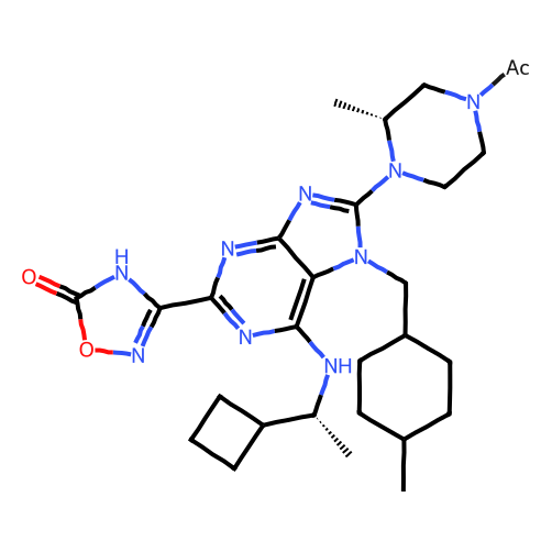 CC(=O)N1CCN(c2nc3nc(-c4noc(=O)[nH]4)nc(N[C@H](C)C4CCC4)c3n2CC2CCC(C)CC2)[C@H](C)C1